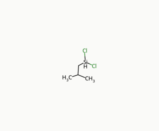 CC(C)C[SiH](Cl)Cl